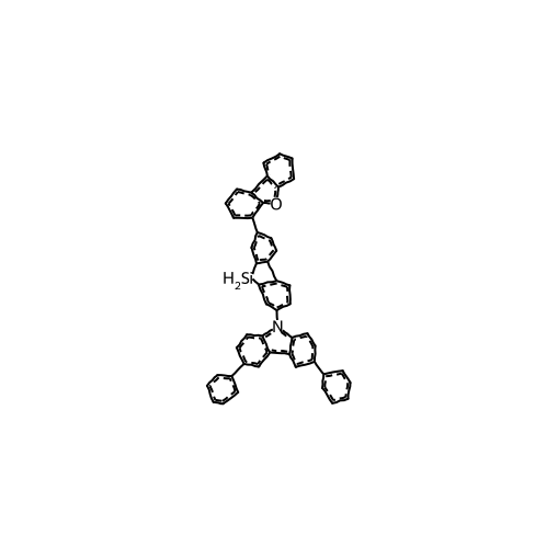 c1ccc(-c2ccc3c(c2)c2cc(-c4ccccc4)ccc2n3-c2ccc3c(c2)[SiH2]c2cc(-c4cccc5c4oc4ccccc45)ccc2-3)cc1